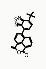 C=c1oc(=O)c2cccc3c(-c4ccc(C(C)(C)C)c5nsnc45)ccc1c32